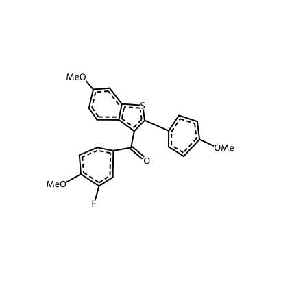 COc1ccc(-c2sc3cc(OC)ccc3c2C(=O)c2ccc(OC)c(F)c2)cc1